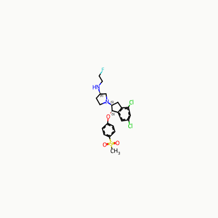 CS(=O)(=O)c1ccc(O[C@H]2c3cc(Cl)cc(Cl)c3C[C@@H]2N2CC[C@@H](NCCF)C2)cc1